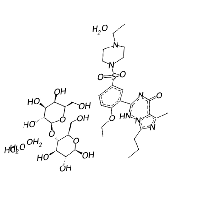 CCCc1nc(C)c2c(=O)nc(-c3cc(S(=O)(=O)N4CCN(CC)CC4)ccc3OCC)[nH]n12.Cl.O.O.O.OC[C@H]1O[C@@H](O[C@H]2[C@H](O)[C@@H](O)[C@H](O)O[C@@H]2CO)[C@H](O)[C@@H](O)[C@H]1O